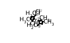 C=CC1C=C(C)C(C)=[C]1[Zr+2][C]1=C(C)C(C)=CC1C=C.[Cl-].[Cl-]